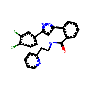 O=C(NCCc1ccccn1)c1ccccc1-c1cc(-c2ccc(Cl)c(F)c2)[nH]n1